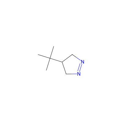 CC(C)(C)C1CN=NC1